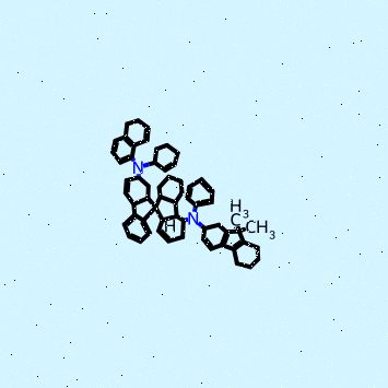 CC1(C)C2=C(C=CC(N(c3ccccc3)C3CC=C[C@H]4C3C3CCCCC3C43c4ccccc4C4C=CC(N(c5cccc6c5C=CCC6)C5C=CCCC5)CC43)C2)C2=C1CCCC2